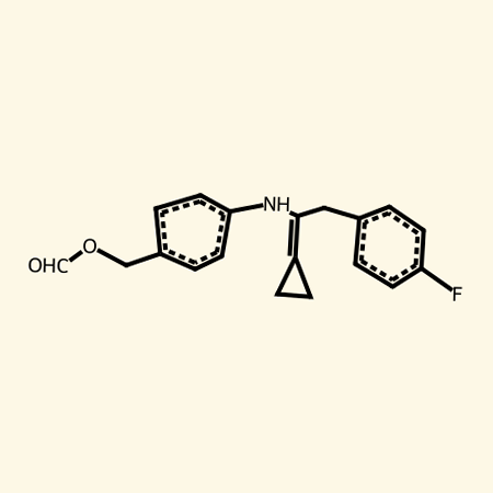 O=COCc1ccc(NC(Cc2ccc(F)cc2)=C2CC2)cc1